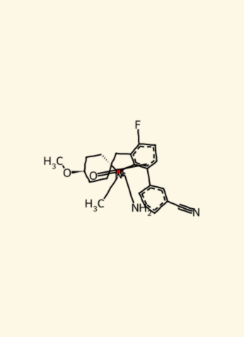 CO[C@H]1CC[C@]2(CC1)Cc1c(F)ccc(-c3cccc(C#N)c3)c1C21N=C(N)N(C)C1=O